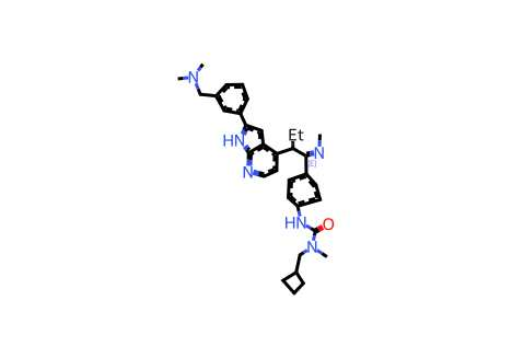 CCC(/C(=N\C)c1ccc(NC(=O)N(C)CC2CCC2)cc1)c1ccnc2[nH]c(-c3cccc(CN(C)C)c3)cc12